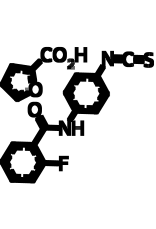 O=C(Nc1ccc(N=C=S)cc1)c1ccccc1F.O=C(O)c1ccco1